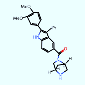 COc1ccc(-c2[nH]c3ccc(C(=O)N4C[C@@H]5C[C@H]4CN5)cc3c2C(C)C)cc1OC